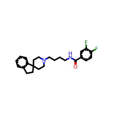 O=C(NCCCCN1CCC2(CCc3ccccc32)CC1)c1ccc(F)c(F)c1